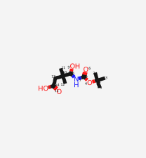 CC(C)(C)OC(=O)NC(O)C(C)(C)CC(=O)O